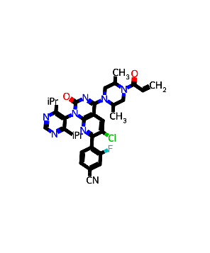 C=CC(=O)N1CC(C)N(c2nc(=O)n(-c3c(C(C)C)ncnc3C(C)C)c3nc(-c4ccc(C#N)cc4F)c(Cl)cc23)CC1C